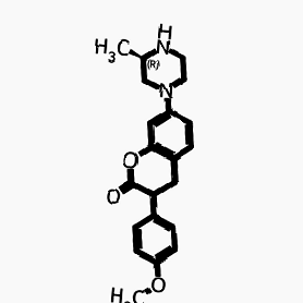 COc1ccc(C2Cc3ccc(N4CCN[C@H](C)C4)cc3OC2=O)cc1